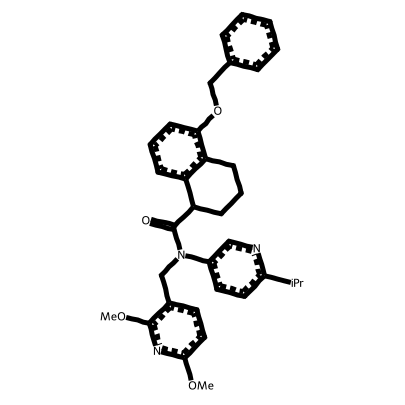 COc1ccc(CN(C(=O)C2CCCc3c(OCc4ccccc4)cccc32)c2ccc(C(C)C)nc2)c(OC)n1